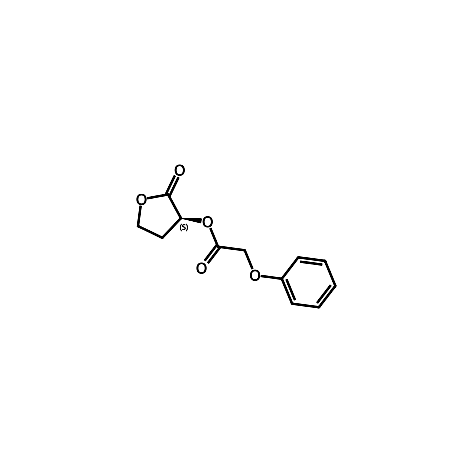 O=C(COc1ccccc1)O[C@H]1CCOC1=O